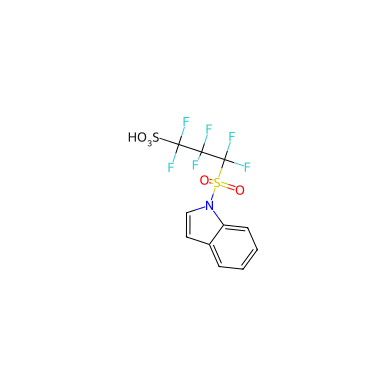 O=S(=O)(O)C(F)(F)C(F)(F)C(F)(F)S(=O)(=O)n1ccc2ccccc21